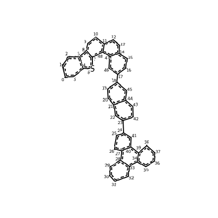 c1ccc2c(c1)sc1c2ccc2ccc3ccc(-c4ccc5cc(-c6ccc7c8ccccc8c8ccccc8c7c6)ccc5c4)cc3c21